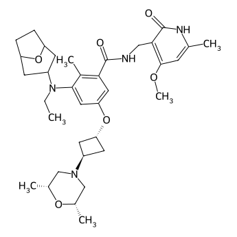 CCN(c1cc(O[C@H]2C[C@H](N3C[C@@H](C)O[C@@H](C)C3)C2)cc(C(=O)NCc2c(OC)cc(C)[nH]c2=O)c1C)C1CC2CCC(C1)O2